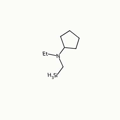 CCN(C[SiH3])C1CCCC1